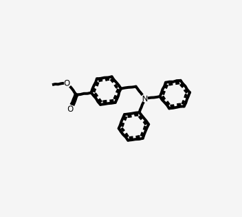 COC(=O)c1ccc(CN(c2ccccc2)c2ccccc2)cc1